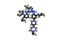 C=C(C)c1c(CC)cccc1Nc1nc(Nc2ccc(N3CCC(N4CCN(C)CC4)CC3)cc2CC(C)F)ncc1C(F)(F)F